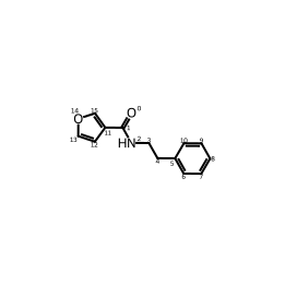 O=C(NCCc1ccccc1)c1ccoc1